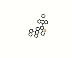 c1ccc(-c2c3ccccc3c(-c3ccc4c(c3)sc3cccc(-c5c6ccccc6c(-c6cccc7ccccc67)c6ccccc56)c34)c3ccccc23)cc1